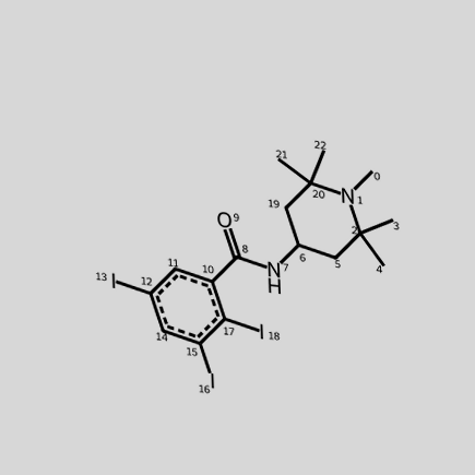 CN1C(C)(C)CC(NC(=O)c2cc(I)cc(I)c2I)CC1(C)C